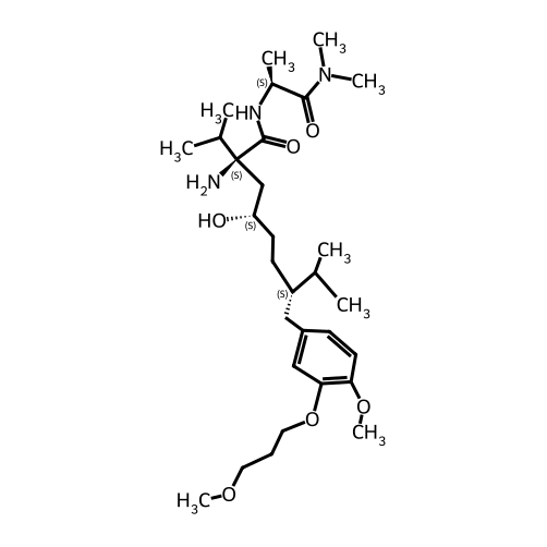 COCCCOc1cc(C[C@H](CC[C@H](O)C[C@@](N)(C(=O)N[C@@H](C)C(=O)N(C)C)C(C)C)C(C)C)ccc1OC